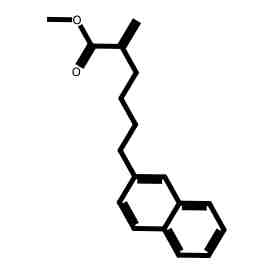 C=C(CCCCc1ccc2ccccc2c1)C(=O)OC